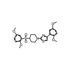 COc1ccc(OC)c(-c2csc(N3CCC(S(=O)(=O)c4cc(OC)ccc4OC)CC3)n2)c1